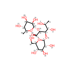 C[C@H](O)[C@H](O)[C@@H](O[C@H]1O[C@H](CO)[C@@H](O)[C@H](O)[C@H]1O)[C@H](C=O)O[C@@H]1O[C@@H](C)[C@H](O)[C@@H](O)[C@H]1O